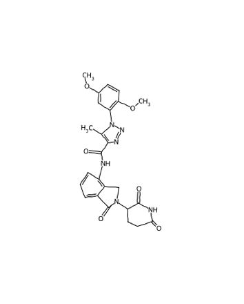 COc1ccc(OC)c(-n2nnc(C(=O)Nc3cccc4c3CN(C3CCC(=O)NC3=O)C4=O)c2C)c1